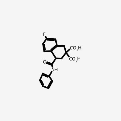 O=C(Nc1ccccc1)C1CC(C(=O)O)(C(=O)O)Cc2cc(F)ccc21